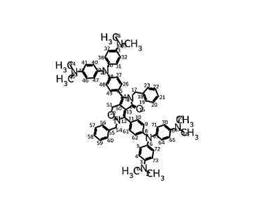 CN(C)c1ccc(N(c2ccc(C3=C4C(=O)N(Cc5ccccc5)C(c5ccc(N(c6ccc(N(C)C)cc6)c6ccc(N(C)C)cc6)cc5)=C4CON3Cc3ccccc3)cc2)c2ccc(N(C)C)cc2)cc1